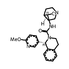 COc1ccc([C@H]2c3ccccc3CCN2C(=O)N[C@@H]2CN3CCC2CC3)cn1